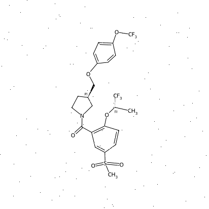 C[C@H](Oc1ccc(S(C)(=O)=O)cc1C(=O)N1CC[C@@H](COc2ccc(OC(F)(F)F)cc2)C1)C(F)(F)F